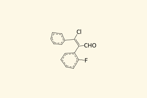 O=CC(=C(Cl)c1ccccc1)c1ccccc1F